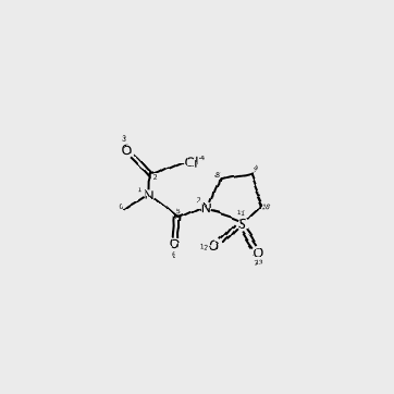 CN(C(=O)Cl)C(=O)N1CCCS1(=O)=O